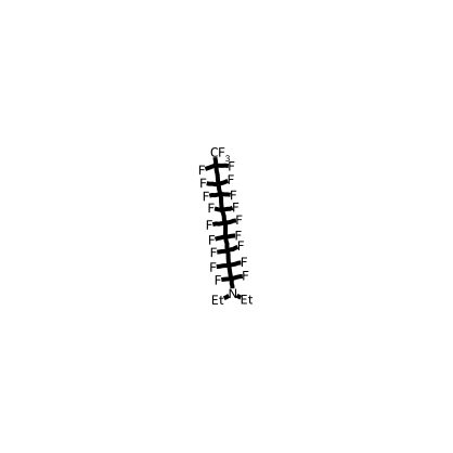 CCN(CC)C(F)(F)C(F)(F)C(F)(F)C(F)(F)C(F)(F)C(F)(F)C(F)(F)C(F)(F)C(F)(F)C(F)(F)F